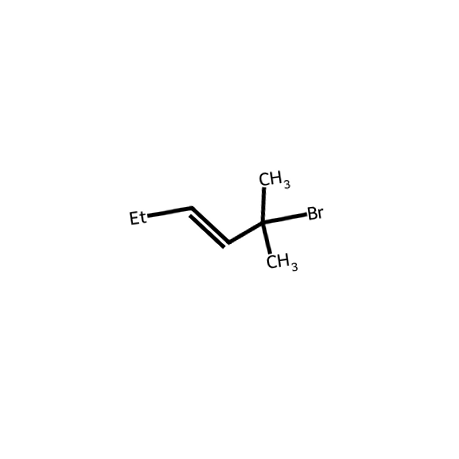 CCC=CC(C)(C)Br